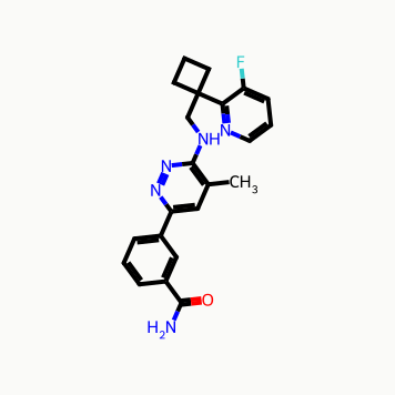 Cc1cc(-c2cccc(C(N)=O)c2)nnc1NCC1(c2ncccc2F)CCC1